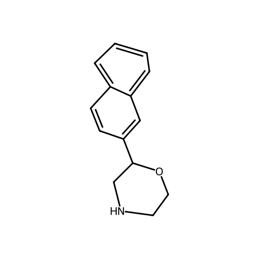 c1ccc2cc(C3CNCCO3)ccc2c1